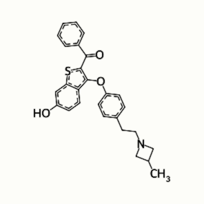 CC1CN(CCc2ccc(Oc3c(C(=O)c4ccccc4)sc4cc(O)ccc34)cc2)C1